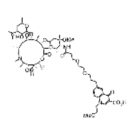 CC[C@H]1OC(=O)[C@H](C)[C@@H](O[C@H]2C[C@@](C)(OC)[C@H](NC(=O)CCOCCOCCCc3ccc4c(c3)c(=O)c(C(=O)O)cn4CCOC)[C@H](C)O2)[C@H](C)[C@@H](O[C@@H]2O[C@H](C)C[C@H](N(C)C)[C@H]2O)[C@](C)(O)C[C@@H](C)CN(C)[C@H](C)[C@@H](O)[C@]1(C)O